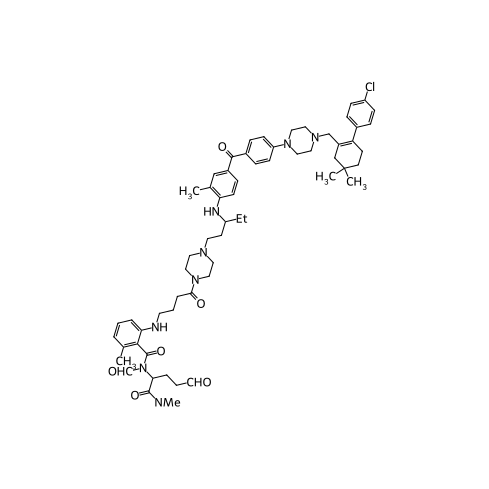 CCC(CCN1CCN(C(=O)CCCNc2cccc(C)c2C(=O)N(C=O)C(CCC=O)C(=O)NC)CC1)Nc1ccc(C(=O)c2ccc(N3CCN(CC4=C(c5ccc(Cl)cc5)CCC(C)(C)C4)CC3)cc2)cc1C